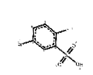 O=S(=O)(O)c1cc(Br)ccc1F